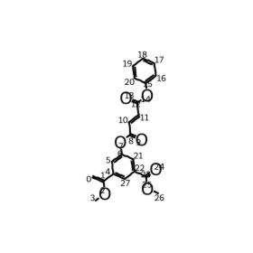 C=C(OC)c1cc(OC(=O)/C=C/C(=O)Oc2ccccc2)cc(C(=O)OC)c1